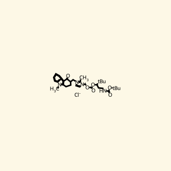 Cc1n(CC2CCc3c(c4ccccc4n3C)C2=O)cc[n+]1COC(=O)OC(CCNC(=O)OC(C)(C)C)C(C)(C)C.[Cl-]